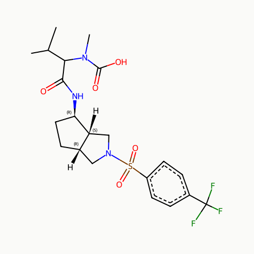 CC(C)C(C(=O)N[C@@H]1CC[C@H]2CN(S(=O)(=O)c3ccc(C(F)(F)F)cc3)C[C@H]21)N(C)C(=O)O